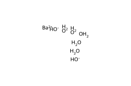 O.O.O.O.O.[Ba+2].[OH-].[OH-]